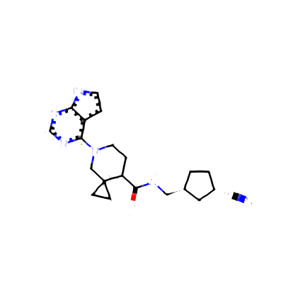 N#C[C@H]1CC[C@H](CNC(=O)C2CCN(c3ncnc4[nH]ccc34)CC23CC3)C1